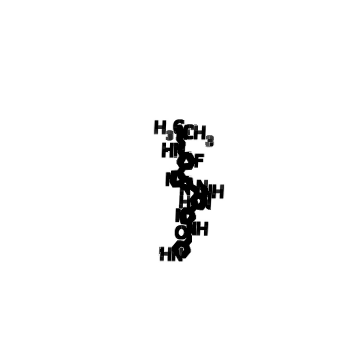 CN(C)CCNc1cc(F)cc(-c2cncc3[nH]c(-c4n[nH]c5ncc(-c6cncc(NC(=O)CC7CCNCC7)c6)cc45)cc23)c1